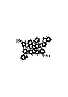 CC(C)(C)c1ccc(N(c2ccc(-c3ccccc3F)cc2)c2cc3c(c4ccccc24)-c2c(cc(N(c4ccc(-c5ccccc5F)cc4)c4ccc(C(C)(C)C)cc4)c4oc5ccccc5c24)C32c3ccccc3-c3ccccc32)cc1